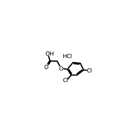 Cl.O=C(O)COc1ccc(Cl)cc1Cl